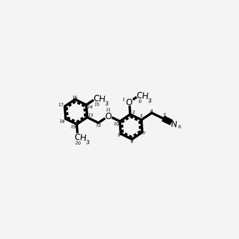 COc1c(CC#N)cccc1OCc1c(C)cccc1C